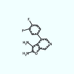 Nc1oc2cncc(-c3ccc(F)c(F)c3)c2c1N